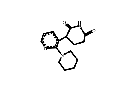 O=C1CCC(c2cccnc2N2CCCCC2)C(=O)N1